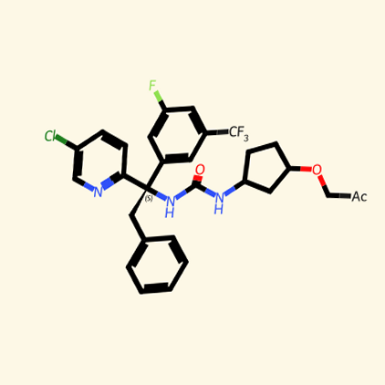 CC(=O)COC1CCC(NC(=O)N[C@@](Cc2ccccc2)(c2cc(F)cc(C(F)(F)F)c2)c2ccc(Cl)cn2)C1